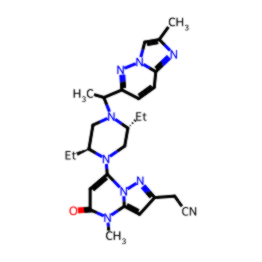 CC[C@H]1CN(C(C)c2ccc3nc(C)cn3n2)[C@H](CC)CN1c1cc(=O)n(C)c2cc(CC#N)nn12